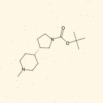 CN1CCC([C@@H]2CCN(C(=O)OC(C)(C)C)C2)CC1